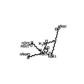 CCCCCCCCCOC(=O)CCCCCCCN(CCCCCCCC(=O)OC(CCCCCCCC)CCCCCCCC)CCCCC(=O)N(C)CCN(C)C(=O)CCCCN(CCCCCCCC(=O)OCCCCCCCCC)CCCCCCCC(=O)OC(CCCCCCCC)CCCCCCCC